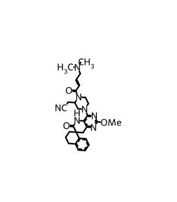 COc1nc2c(c(N3CCN(C(=O)/C=C/CN(C)C)C(CC#N)C3)n1)NC(=O)C1(CCCc3ccccc31)C2